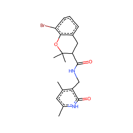 Cc1cc(C)c(CNC(=O)C2Cc3cccc(Br)c3OC2(C)C)c(=O)[nH]1